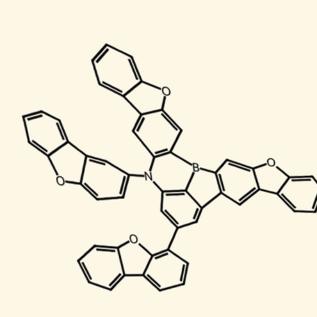 c1ccc2c(c1)oc1ccc(N3c4cc5c(cc4B4c6cc7oc8ccccc8c7cc6-c6cc(-c7cccc8c7oc7ccccc78)cc3c64)oc3ccccc35)cc12